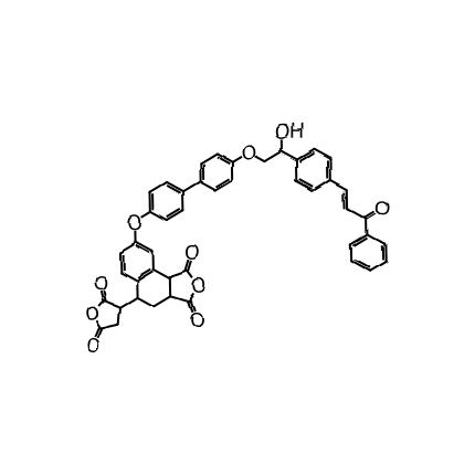 O=C1CC(C2CC3C(=O)OC(=O)C3c3cc(Oc4ccc(-c5ccc(OCC(O)c6ccc(C=CC(=O)c7ccccc7)cc6)cc5)cc4)ccc32)C(=O)O1